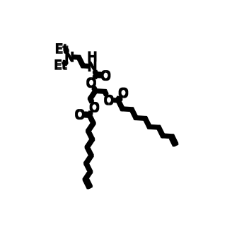 C=CCCCCCCCC(=O)OCC(COC(=O)CCCCCCCC=C)OC(=O)NCCN(CC)CC